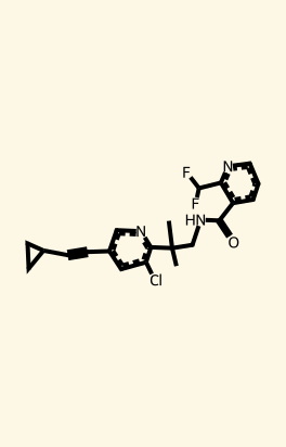 CC(C)(CNC(=O)c1cccnc1C(F)F)c1ncc(C#CC2CC2)cc1Cl